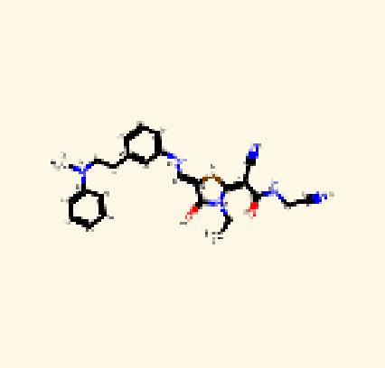 CCn1c(=C(C#N)C(=O)NCC#N)sc(=CNc2cccc(CCN(C)c3ccccc3)c2)c1=O